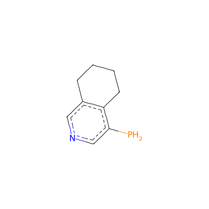 Pc1cncc2c1CCCC2